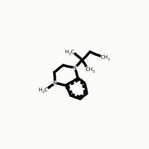 CCC(C)(C)N1CCN(C)c2ccccc21